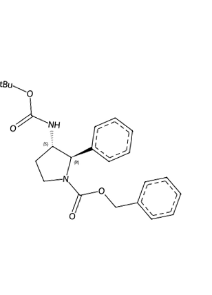 CC(C)(C)OC(=O)N[C@H]1CCN(C(=O)OCc2ccccc2)[C@@H]1c1ccccc1